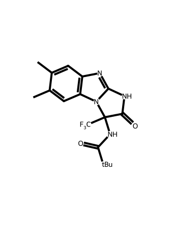 Cc1cc2nc3n(c2cc1C)C(NC(=O)C(C)(C)C)(C(F)(F)F)C(=O)N3